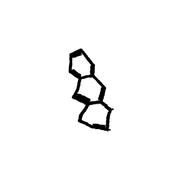 [C]1=CCc2cc3ccccc3cc2[CH]1